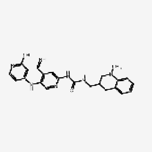 Cc1cc(Nc2cnc(NC(=O)NCC3Cc4ccccc4N(C)C3)cc2C=N)ccn1